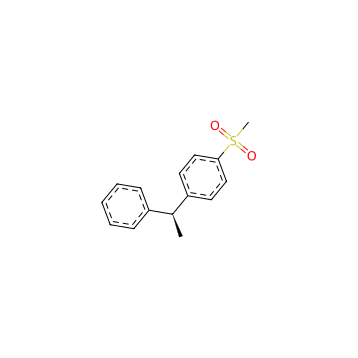 C[C@@H](c1ccccc1)c1ccc(S(C)(=O)=O)cc1